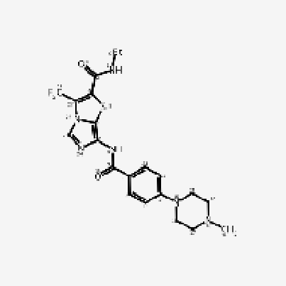 CCNC(=O)c1sc2c(NC(=O)c3ccc(N4CCN(C)CC4)cc3)ncn2c1C(F)(F)F